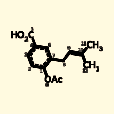 CC(=O)Oc1ccc(C(=O)O)cc1CC=C(C)C